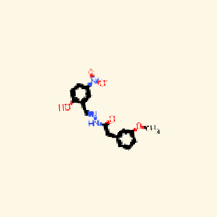 COc1cccc(CC(=O)N/N=C/c2cc([N+](=O)[O-])ccc2O)c1